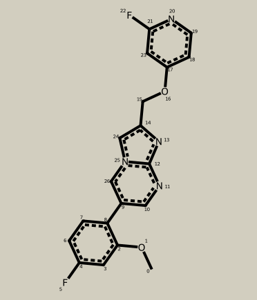 COc1cc(F)ccc1-c1cnc2nc(COc3ccnc(F)c3)cn2c1